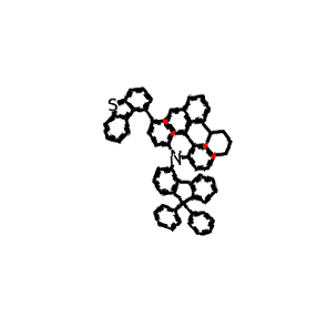 c1ccc(C2(c3ccccc3)c3ccccc3-c3c(N(c4ccc(-c5cccc6sc7ccccc7c56)cc4)c4ccccc4-c4cccc5cccc(C6CCCCC6)c45)cccc32)cc1